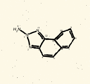 Nn1nc2ccc3ccccc3c2n1